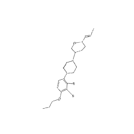 C/C=C/C1CCC(C2CCC(c3ccc(OCCC)c(F)c3F)CC2)CO1